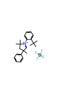 CC(C)(C)c1ccccc1[N+]1=CC(C)(c2ccccc2)CC1(C)C.F[B-](F)(F)F